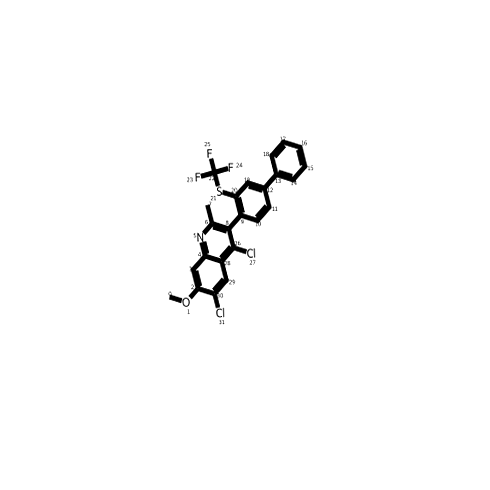 COc1cc2nc(C)c(-c3ccc(-c4ccccc4)cc3SC(F)(F)F)c(Cl)c2cc1Cl